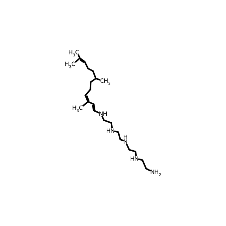 CC(C)=CCCC(C)CCC=C(C)C=CNCCNCCNCCNCCN